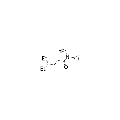 CCCN(C(=O)CCC(CC)CC)C1CC1